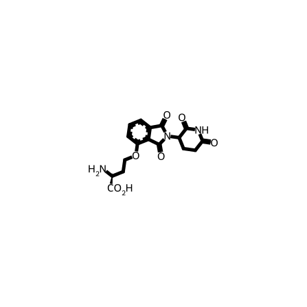 N[C@@H](CCOc1cccc2c1C(=O)N(C1CCC(=O)NC1=O)C2=O)C(=O)O